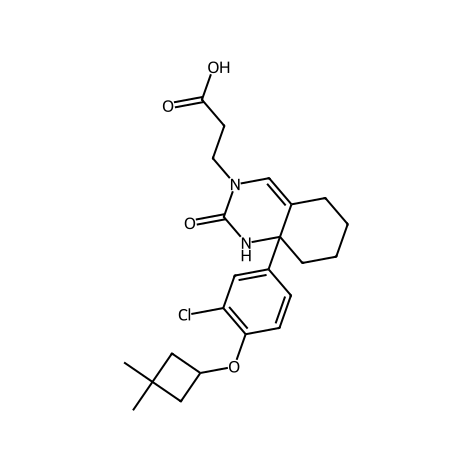 CC1(C)CC(Oc2ccc(C34CCCCC3=CN(CCC(=O)O)C(=O)N4)cc2Cl)C1